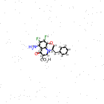 Nc1c(F)c(F)c2c3c1c(=O)c(C(=O)O)cn3C(Cc1ccccc1)=CO2